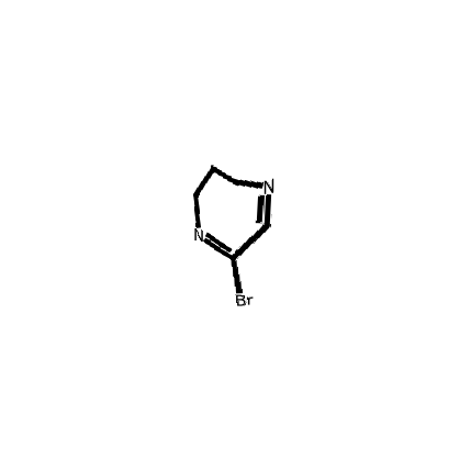 BrC1=NCCN=C1